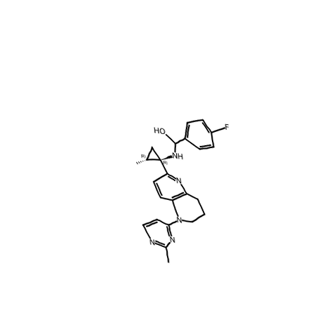 Cc1nccc(N2CCCc3nc([C@@]4(NC(O)c5ccc(F)cc5)C[C@H]4C)ccc32)n1